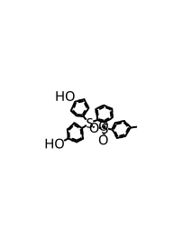 Cc1ccc(S(=O)(=O)OS(c2ccccc2)(c2ccc(O)cc2)c2ccc(O)cc2)cc1